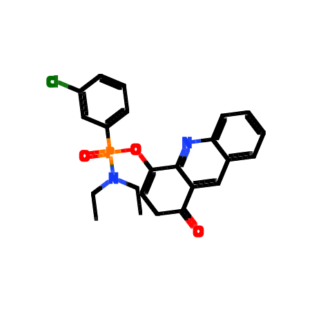 CCN(CC)P(=O)(OC1=CCC(=O)c2cc3ccccc3nc21)c1cccc(Cl)c1